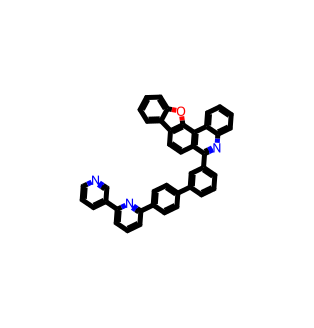 c1cncc(-c2cccc(-c3ccc(-c4cccc(-c5nc6ccccc6c6c5ccc5c7ccccc7oc56)c4)cc3)n2)c1